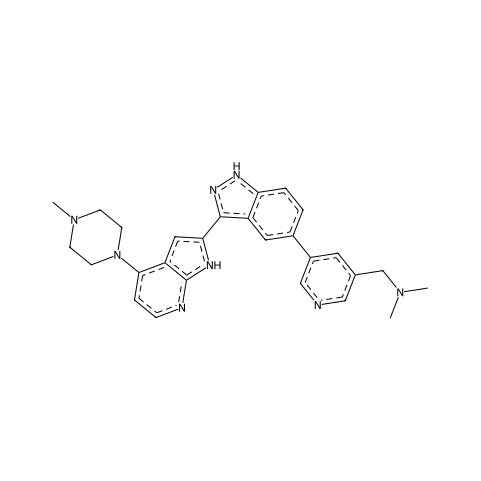 CN(C)Cc1cncc(-c2ccc3[nH]nc(-c4cc5c(N6CCN(C)CC6)ccnc5[nH]4)c3c2)c1